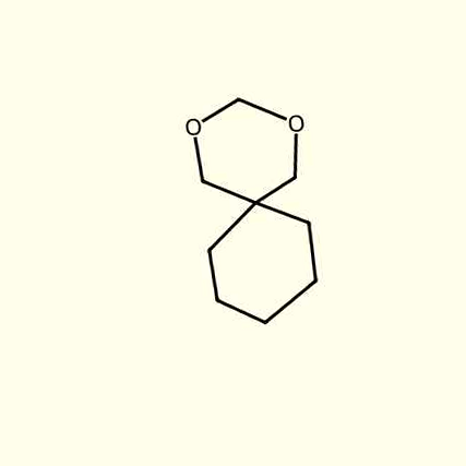 C1CCC2(CC1)COCOC2